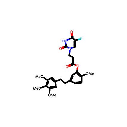 COc1ccc(CCc2cc(OC)c(OC)c(OC)c2)cc1OC(=O)CCn1cc(F)c(=O)[nH]c1=O